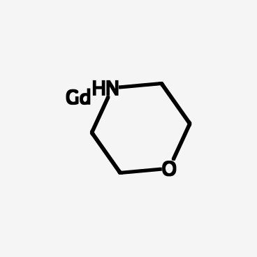 C1COCCN1.[Gd]